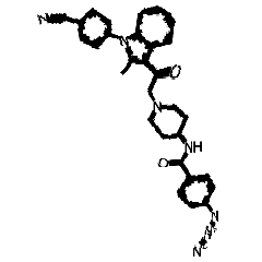 Cc1c(C(=O)CN2CCC(NC(=O)c3ccc(N=[N+]=[N-])cc3)CC2)c2ccccc2n1-c1ccc(C#N)cc1